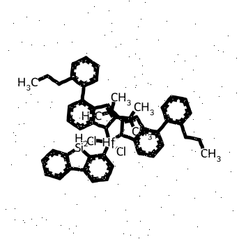 CCCc1ccccc1-c1cccc2c1C=C(C(C)C)[CH]2[Hf]([Cl])([Cl])([c]1cccc2c1[SiH2]c1ccccc1-2)[CH]1C(C(C)C)=Cc2c(-c3ccccc3CCC)cccc21